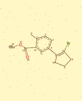 Cc1ccc(C2=C(Br)CCC2)cc1C(=O)OC(C)(C)C